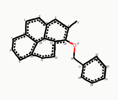 Cc1cc2ccc3cccc4ccc(c1OCc1ccccc1)c2c34